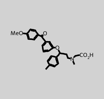 COc1ccc(C(=O)c2cccc(OC(CCN(C)CC(=O)O)c3ccc(C)cc3)c2)cc1